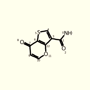 [NH]C(=O)c1csc2c(=O)ccoc12